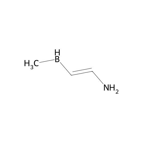 CBC=CN